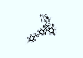 CN1N=CN(CC(O)(c2ccc(F)cc2F)C(F)(F)c2ccc(OCc3ccc(F)cc3)cn2)N1